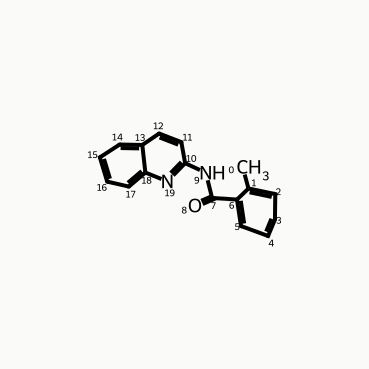 Cc1ccccc1C(=O)Nc1ccc2ccccc2n1